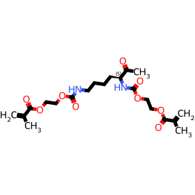 C=C(C)C(=O)OCCOC(=O)NCCCC[C@H](NC(=O)OCCOC(=O)C(=C)C)C(C)=O